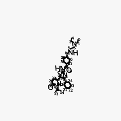 CCN(CC)CCNCc1ccc(C(=O)Nc2nc(-c3ccccc3)c(-c3ccc(=O)n(C(C)C)n3)s2)cc1